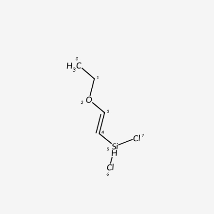 CCOC=C[SiH](Cl)Cl